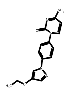 CCOc1cnn(-c2ccc(-n3ccc(N)nc3=O)cc2)c1